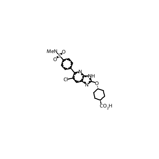 CNS(=O)(=O)c1ccc(-c2nc3[nH]c(O[C@H]4CC[C@H](C(=O)O)CC4)nc3cc2Cl)cc1